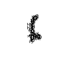 CCN1CC(C)(C)Oc2nc(N3CCOCC3C)nc(-c3ccc(NC(=O)Nc4ccc(N5CCOCC5(C)C)nc4)c(F)c3)c2C1=O